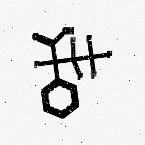 O=C(O)C(F)(c1ccccc1)C(F)(F)C(F)(F)F